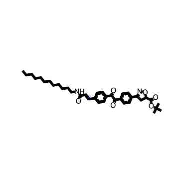 CCCCCCCCCCCCNC(=O)/C=C/c1ccc(C(=O)C(=O)c2ccc(C3=NOC(C(=O)OC(C)(C)C)C3)cc2)cc1